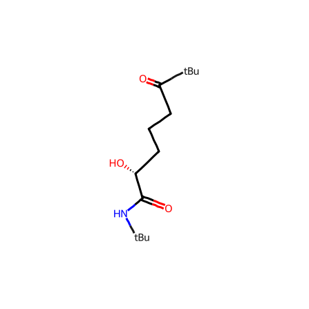 CC(C)(C)NC(=O)[C@H](O)CCCC(=O)C(C)(C)C